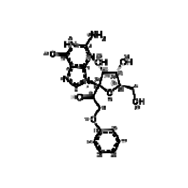 Nc1nc2c(ncn2[C@]2(C(=O)COc3ccccc3)O[C@H](CO)[C@@H](O)[C@H]2O)c(=O)[nH]1